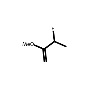 C=C(OC)C(C)F